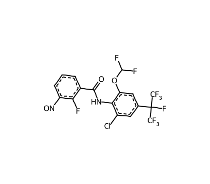 O=Nc1cccc(C(=O)Nc2c(Cl)cc(C(F)(C(F)(F)F)C(F)(F)F)cc2OC(F)F)c1F